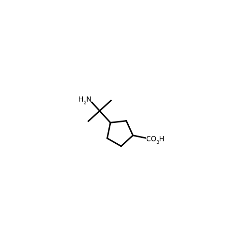 CC(C)(N)C1CCC(C(=O)O)C1